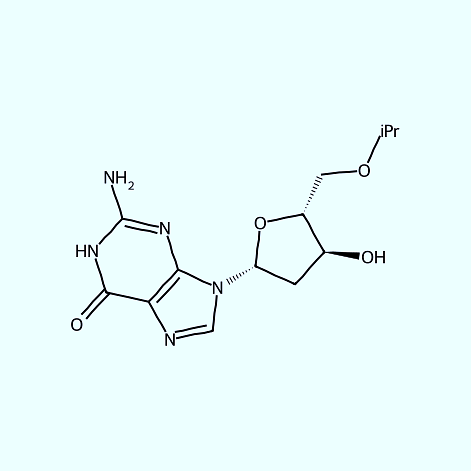 CC(C)OC[C@H]1O[C@@H](n2cnc3c(=O)[nH]c(N)nc32)C[C@@H]1O